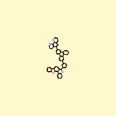 C1=Cc2c(nc(-c3cccc(-c4ccc5c(c4)c4c(c6cc(-c7cc8cccnc8c8c7CCC=N8)ccc65)C=CCC4)c3)c3ccc4c5ccccc5oc4c23)CC1